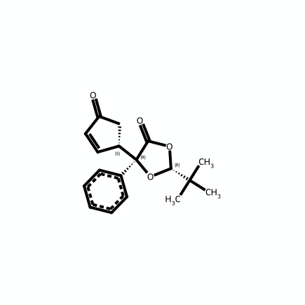 CC(C)(C)[C@H]1OC(=O)[C@](c2ccccc2)([C@@H]2C=CC(=O)C2)O1